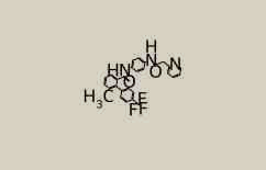 Cc1cccc(C(=O)Nc2ccc(NC(=O)Cc3ccccn3)cc2)c1-c1ccc(C(F)(F)F)cc1